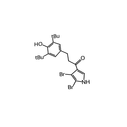 CC(C)(C)c1cc(CCC(=O)c2c[nH]c(Br)c2Br)cc(C(C)(C)C)c1O